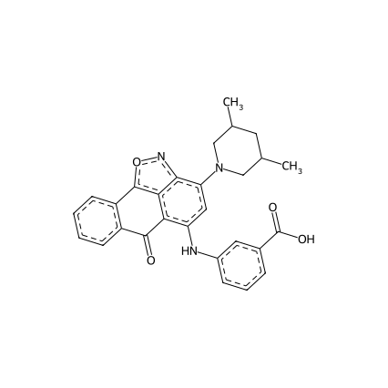 CC1CC(C)CN(c2cc(Nc3cccc(C(=O)O)c3)c3c4c(onc24)-c2ccccc2C3=O)C1